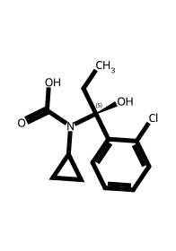 CC[C@](O)(c1ccccc1Cl)N(C(=O)O)C1CC1